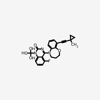 CC1(C#Cc2cccc3c2OCCCN3c2nc(=O)n(C(O)(O)O)c3cccc(F)c23)CC1